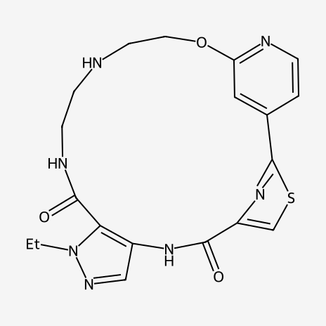 CCn1ncc2c1C(=O)NCCNCCOc1cc(ccn1)-c1nc(cs1)C(=O)N2